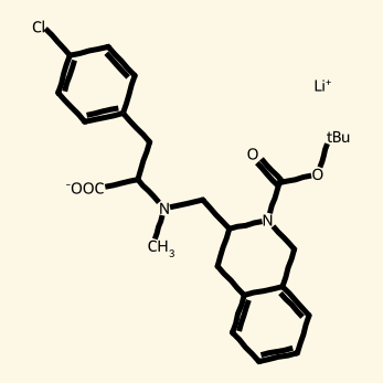 CN(CC1Cc2ccccc2CN1C(=O)OC(C)(C)C)C(Cc1ccc(Cl)cc1)C(=O)[O-].[Li+]